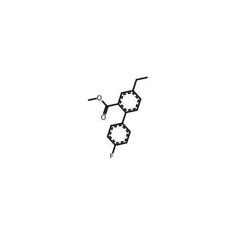 CCc1ccc(-c2ccc(F)cc2)c(C(=O)OC)c1